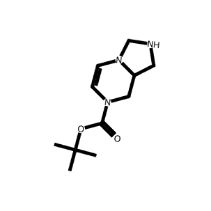 CC(C)(C)OC(=O)N1C=CN2CNCC2C1